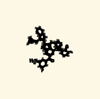 COc1cc(C(=O)N2CC(N)C[C@@H](F)C2)cc2nc(-c3cc4cccnc4n3CC3CC3)n(Cc3cnn(-c4cccn(C)c4=O)c3)c12